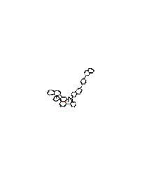 c1ccc(-c2ccccc2N(c2ccc3cc(-c4ccc(-c5ccc6ccccc6c5)cc4)ccc3c2)c2ccc3oc4c5ccccc5ccc4c3c2)cc1